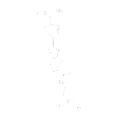 COP(=O)(O)CCNC(=O)c1ccc2c(c1)nc(-c1ccc(C(=N)N)cc1)n2C